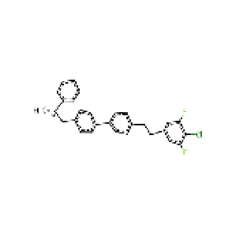 C[C@@H](Cc1ccc(-c2ccc(CCc3cc(F)c(Cl)c(F)c3)cc2)cc1)c1ccccc1